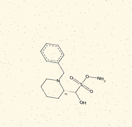 NOS(=O)(=O)C(O)[C@@H]1CCCCN1Cc1ccccc1